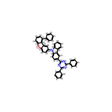 c1ccc(-c2nc(-c3ccccc3)nc(-c3ccc4c(c3)c3ccccc3n4-c3ccc4oc5cccc(-c6ccccc6)c5c4c3)n2)cc1